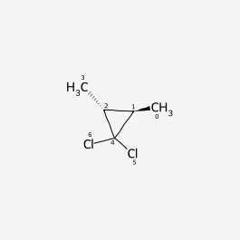 C[C@@H]1[C@@H](C)C1(Cl)Cl